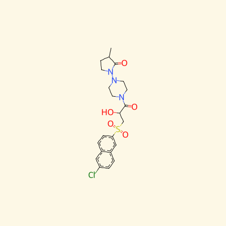 CC1CCN(N2CCN(C(=O)C(O)CS(=O)(=O)c3ccc4cc(Cl)ccc4c3)CC2)C1=O